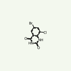 O=c1[nH]c(=O)c2cc(Br)cc(Cl)c2[nH]1